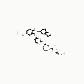 COc1ccc2nc(-c3ccc4occc4c3)n(-c3ccnc(N[C@H]4CCCN(C(=O)OC(C)(C)C)C4)n3)c2c1